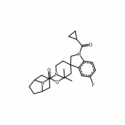 CC(C)OC(=O)N1C2CCC1CC(N1CCC3(CC1)CN(C(=O)C1CC1)c1ccc(F)cc13)C2